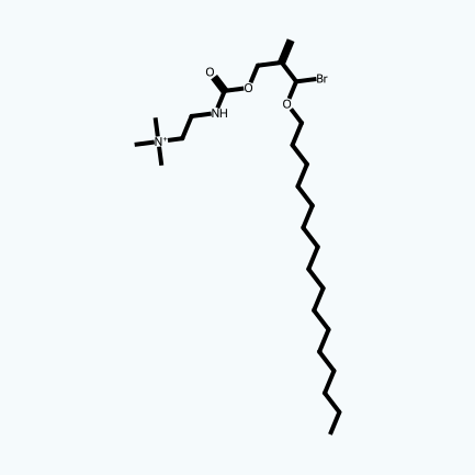 C=C(COC(=O)NCC[N+](C)(C)C)C(Br)OCCCCCCCCCCCCCCCC